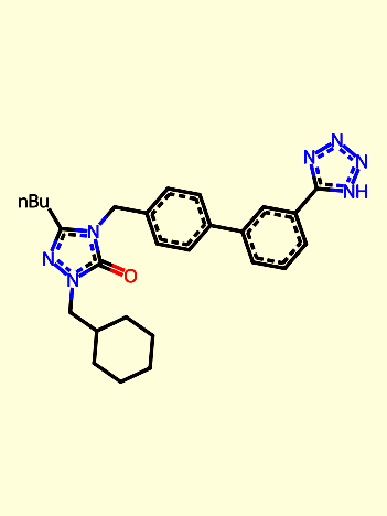 CCCCc1nn(CC2CCCCC2)c(=O)n1Cc1ccc(-c2cccc(-c3nnn[nH]3)c2)cc1